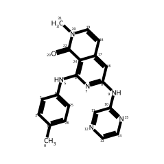 Cc1ccc(Nc2nc(Nc3cnccn3)cc3ccn(C)c(=O)c23)cc1